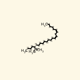 CCCCC/C=C\C/C=C\CCCCCCCCC[C@@H](CCCC)N(C)C